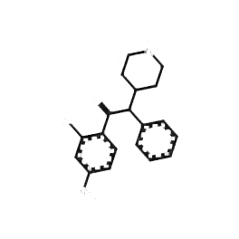 Nc1ccc(C(=O)C(c2ccccc2)C2CCNCC2)c(Cl)c1